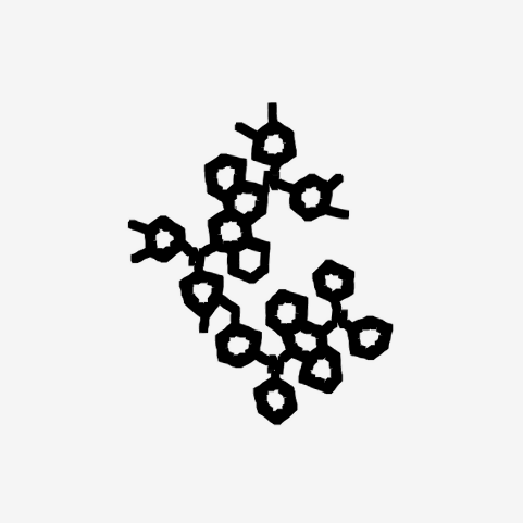 Cc1ccc(N(c2ccc(C)c(Cc3cccc(N(c4ccccc4)c4c5ccccc5c(N(c5ccccc5)c5ccccc5)c5ccccc45)c3)c2)c2cc3c(cc(N(c4ccc(C)c(C)c4)c4ccc(C)c(C)c4)c4ccccc43)c3c2=CCCC=3)cc1C